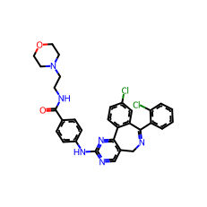 O=C(NCCN1CCOCC1)c1ccc(Nc2ncc3c(n2)-c2ccc(Cl)cc2C(c2ccccc2Cl)=NC3)cc1